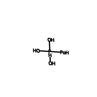 O[PH](O)(O)[PoH]